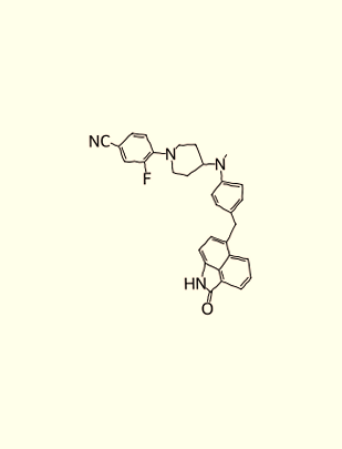 CN(c1ccc(Cc2ccc3c4c(cccc24)C(=O)N3)cc1)C1CCN(c2ccc(C#N)cc2F)CC1